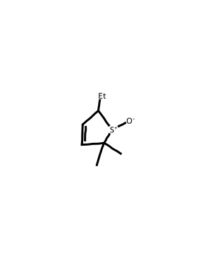 CCC1C=CC(C)(C)[S+]1[O-]